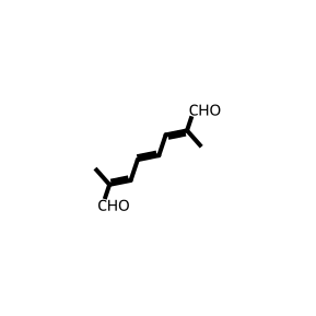 C\C(C=O)=C/C=C/C=C(\C)C=O